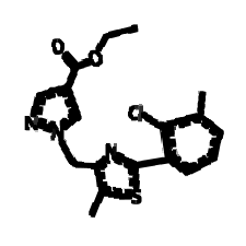 CCOC(=O)c1cnn(Cc2nc(-c3cccc(C)c3Cl)sc2C)c1